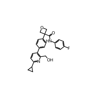 O=C(Nc1ccc(F)cc1)C1(c2ccc(-c3ccc(C4CC4)nc3CO)cc2)COC1